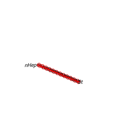 CCCCCCCOCCOCCOCCOCCOCCOCCOCCOCCOCCOCCOCCOCCOCCOCCOCCOCCOCCOCCOCCOCCOCCOCCOCCOCC